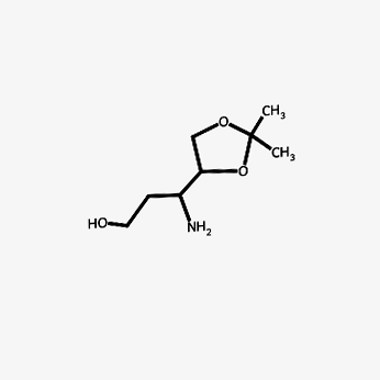 CC1(C)OCC(C(N)CCO)O1